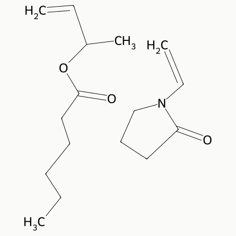 C=CC(C)OC(=O)CCCCC.C=CN1CCCC1=O